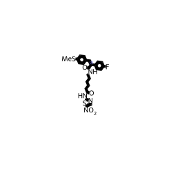 CSc1ccc(/C=C(\C(=O)NCCCCCC(=O)Nc2ncc([N+](=O)[O-])s2)c2ccc(F)cc2)cc1